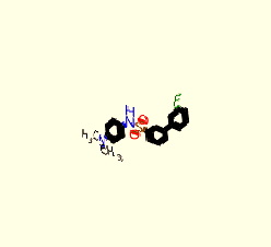 CN(C)c1ccc(NS(=O)(=O)c2cccc(-c3cccc(F)c3)c2)cc1